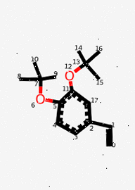 C=Cc1ccc(OC(C)(C)C)c(OC(C)(C)C)c1